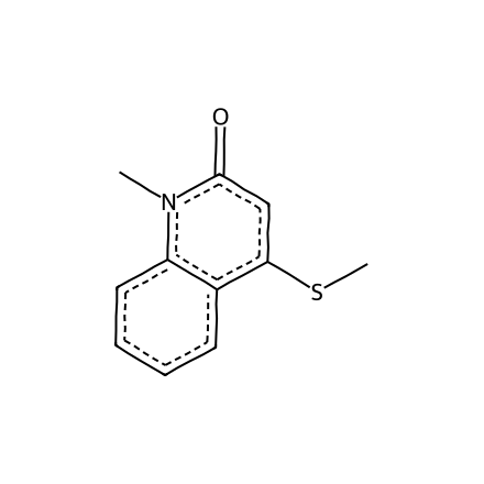 CSc1cc(=O)n(C)c2ccccc12